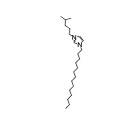 CCCCCCCCCCCCCCn1cc[n+](CCCC(C)C)c1